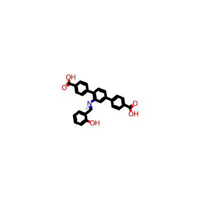 O=C(O)c1ccc(-c2ccc(-c3ccc(C(=O)O)cc3)c(/N=C/c3ccccc3O)c2)cc1